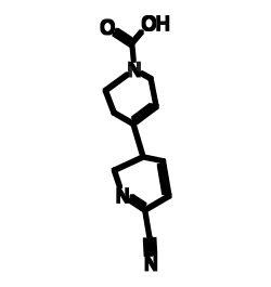 N#CC1=NCC(C2=CCN(C(=O)O)CC2)C=C1